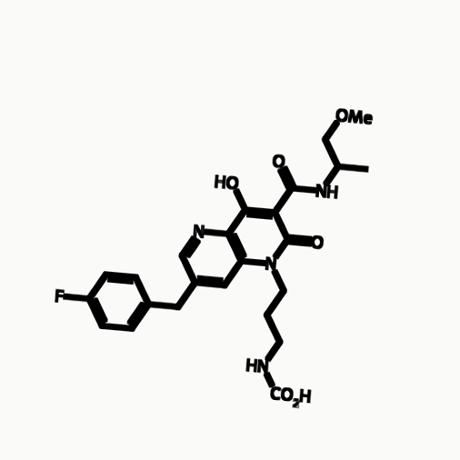 COCC(C)NC(=O)c1c(O)c2ncc(Cc3ccc(F)cc3)cc2n(CCCNC(=O)O)c1=O